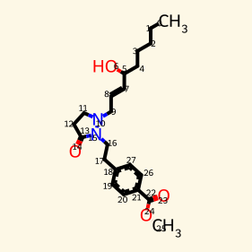 CCCCCC(O)/C=C/CN1CCC(=O)N1CCc1ccc(C(=O)OC)cc1